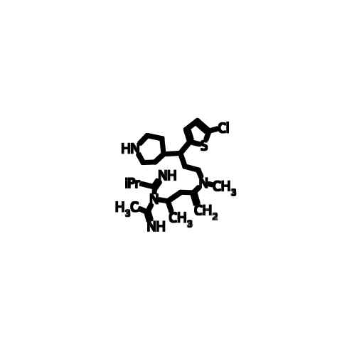 C=C(CC(C)N(C(C)=N)C(=N)C(C)C)N(C)CCC(c1ccc(Cl)s1)C1CCNCC1